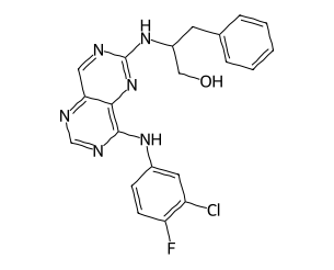 OCC(Cc1ccccc1)Nc1ncc2ncnc(Nc3ccc(F)c(Cl)c3)c2n1